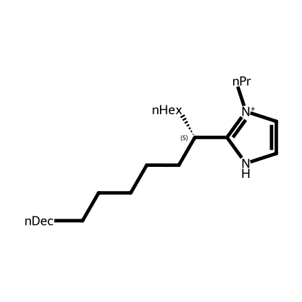 CCCCCCCCCCCCCCC[C@H](CCCCCC)c1[nH]cc[n+]1CCC